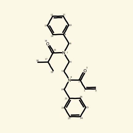 C=CC(=O)N(CCN(Cc1ccccc1)C(=O)C(C)C)Cc1ccccc1